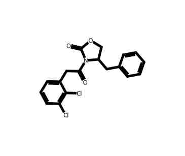 O=C(Cc1cccc(Cl)c1Cl)N1C(=O)OCC1Cc1ccccc1